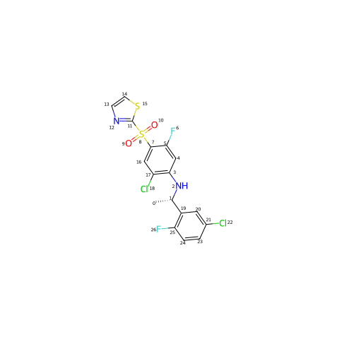 C[C@H](Nc1cc(F)c(S(=O)(=O)c2n[c]cs2)cc1Cl)c1cc(Cl)ccc1F